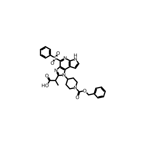 CC(C(=O)O)c1nc2c(S(=O)(=O)c3ccccc3)nc3[nH]ccc3c2n1C1CCN(C(=O)OCc2ccccc2)CC1